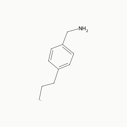 [CH2]CCc1ccc(CN)cc1